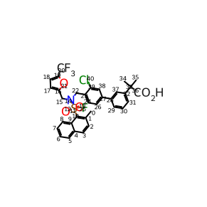 Cc1ccc2ccccc2c1S(=O)(=O)N(Cc1ccc(C(F)(F)F)o1)Cc1c(F)cc(-c2cccc(C(C)(C)C(=O)O)c2)cc1Cl